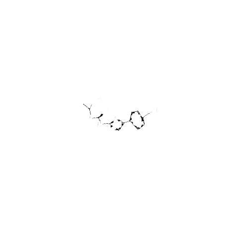 Cc1ccc(-c2csc(NC(=O)NC(C)C)n2)cc1